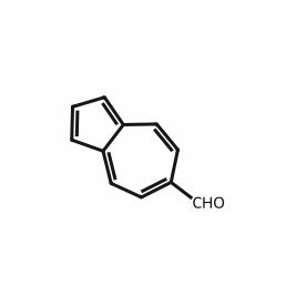 O=Cc1ccc2cccc-2cc1